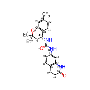 CCC1(CC)C[C@@H](NC(=O)Nc2ccc3c(c2)NC(=O)CC3)c2ccc(C(F)(F)F)cc2O1